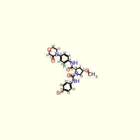 CO[C@@H]1C[C@H](C(=O)Nc2ccc(N3CCOCC3=O)cc2F)N(C(=O)Nc2ccc(Br)cc2)C1